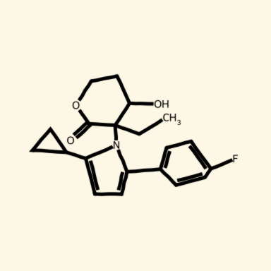 CCC1(n2c(-c3ccc(F)cc3)ccc2C2CC2)C(=O)OCCC1O